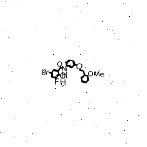 COc1ccccc1CCOc1cccc(NC(=O)c2cc(Br)cc(F)c2O)c1